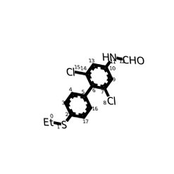 CCSc1ccc(-c2c(Cl)cc(NC=O)cc2Cl)cc1